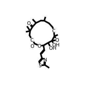 Cc1nc(C=CC2OC(=O)CCC(C)(C)C(=O)C(C)CC(C)CCCC3(C)OC3(O)C2O)cs1